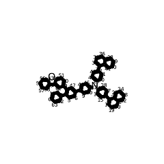 c1ccc(-c2ccc(-c3ccc(N(c4ccc(-c5cccc6ccccc56)cc4)c4ccc(-c5cccc6ccccc56)cc4)cc3)cc2-c2ccc3oc4ccccc4c3c2)cc1